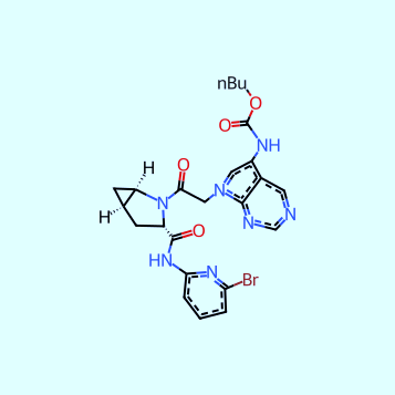 CCCCOC(=O)Nc1cn(CC(=O)N2[C@@H]3C[C@@H]3C[C@H]2C(=O)Nc2cccc(Br)n2)c2ncncc12